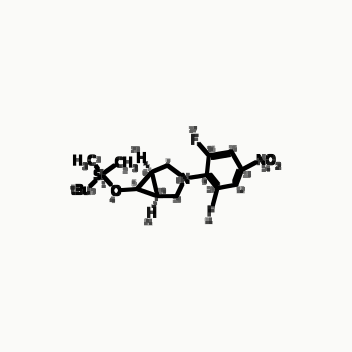 CC(C)(C)[Si](C)(C)OC1[C@H]2CN(c3c(F)cc([N+](=O)[O-])cc3F)C[C@@H]12